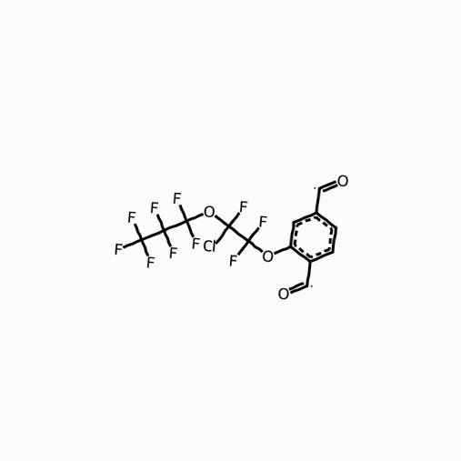 O=[C]c1ccc([C]=O)c(OC(F)(F)C(F)(Cl)OC(F)(F)C(F)(F)C(F)(F)F)c1